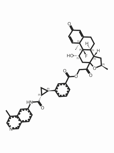 Cc1cncc2ccc(NC(=O)[C@@H]3C[C@H]3c3cccc(C(=O)OCC(=O)C45C[C@H](O)[C@@]6(F)[C@@H](CCC7=CC(=O)C=C[C@@]76C)[C@@H]4C[C@@H](C)O5)c3)cc12